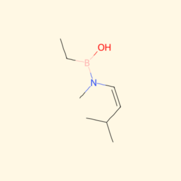 CCB(O)N(C)/C=C\C(C)C